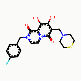 O=c1c2c(O)c(O)c(CN3CCSCC3)c(=O)n2ccn1Cc1ccc(F)cc1